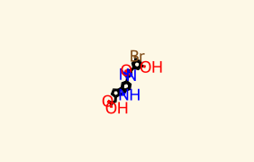 O=C(O)CC1CCc2c1[nH]c1ccc(-c3noc(-c4cc(O)cc(Br)c4)n3)cc21